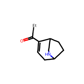 CCC(=O)C1=CCC2CCC1CN2